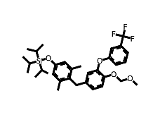 COCOc1ccc(Cc2c(C)cc(O[Si](C(C)C)(C(C)C)C(C)C)cc2C)cc1Oc1cccc(C(F)(F)F)c1